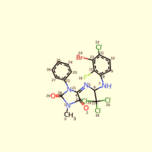 CN1C(=O)C(=NC(Nc2ccc(Cl)c(Br)c2F)C(Cl)(Cl)Cl)N(c2ccccc2)C1=O